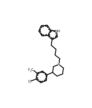 FC(F)(F)c1cc(C2CCCN(CCCCc3c[nH]c4ccccc34)C2)ccc1Cl